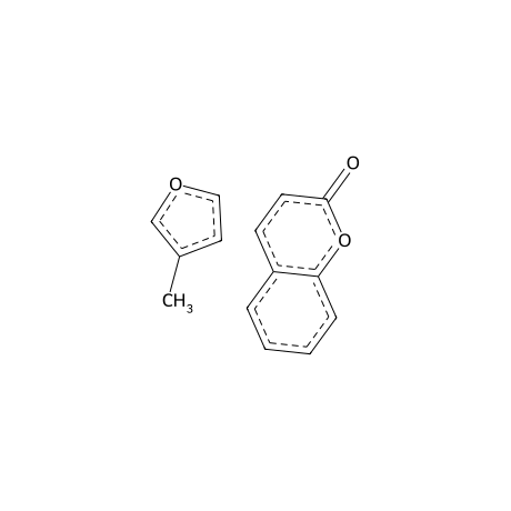 Cc1ccoc1.O=c1ccc2ccccc2o1